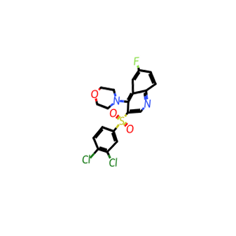 O=S(=O)(c1ccc(Cl)c(Cl)c1)c1cnc2ccc(F)cc2c1N1CCOCC1